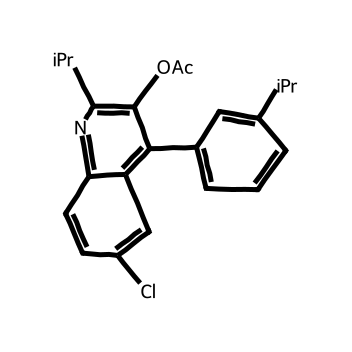 CC(=O)Oc1c(C(C)C)nc2ccc(Cl)cc2c1-c1cccc(C(C)C)c1